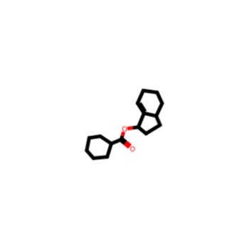 O=C(OC1CCC2CCCC=C21)C1CCCCC1